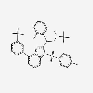 Cc1ccc(S(=O)(=O)n2c(C(N[S+]([O-])C(C)(C)C)c3ccccc3Cl)nc3c(-c4cc(C(C)(C)O)ccn4)cccc32)cc1